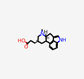 CN1C[C@H](CCC(=O)O)CC2c3cccc4[nH]cc(c34)C[C@H]21